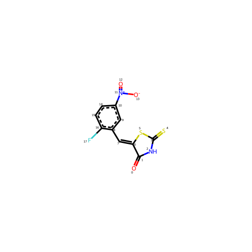 O=C1NC(=S)S/C1=C\c1cc([N+](=O)[O-])ccc1F